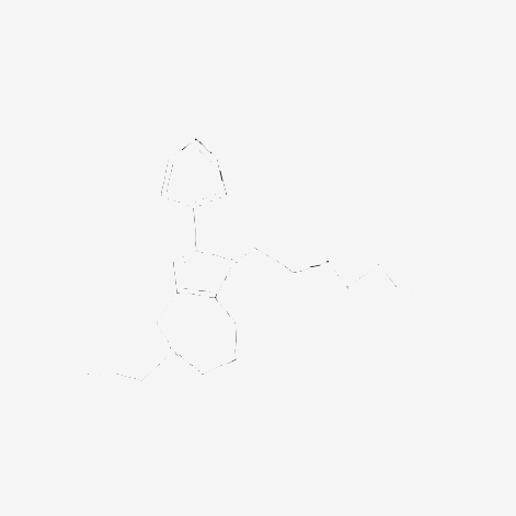 CCCCCCn1c(-c2ccccc2)cc2c1CCCN(CC)C2